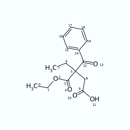 CCOC(=O)C(CC)(CC(=O)O)C(=O)c1ccccc1